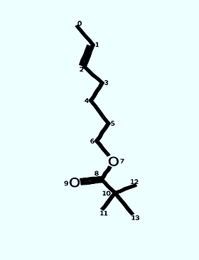 CC=CCCCCOC(=O)C(C)(C)C